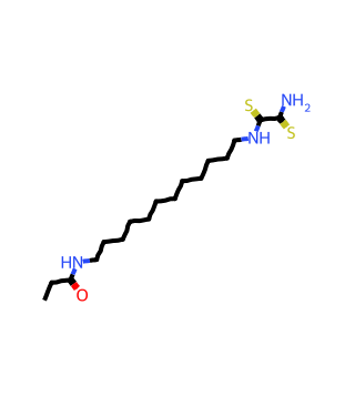 CCC(=O)NCCCCCCCCCCCCNC(=S)C(N)=S